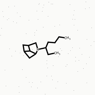 CCCCC(CC)N1CC2CC3CC1C32